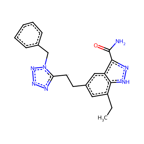 CCc1cc(C[CH]c2nnnn2Cc2ccccc2)cc2c(C(N)=O)n[nH]c12